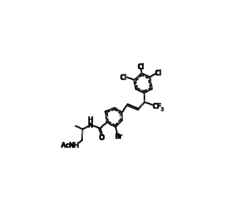 CC(=O)NCC(C)NC(=O)c1ccc(/C=C/C(c2cc(Cl)c(Cl)c(Cl)c2)C(F)(F)F)cc1Br